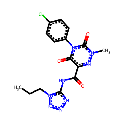 CCCn1nnnc1NC(=O)c1nn(C)c(=O)n(-c2ccc(Cl)cc2)c1=O